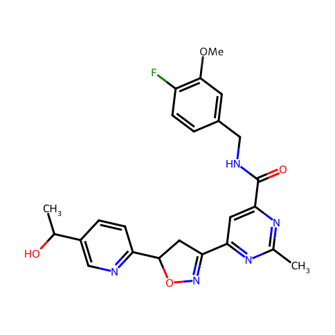 COc1cc(CNC(=O)c2cc(C3=NOC(c4ccc(C(C)O)cn4)C3)nc(C)n2)ccc1F